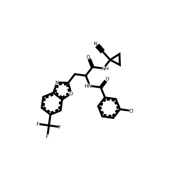 N#CC1(NC(=O)C(Cc2nc3ccc(C(F)(F)F)cc3o2)NC(=O)c2cccc(Cl)c2)CC1